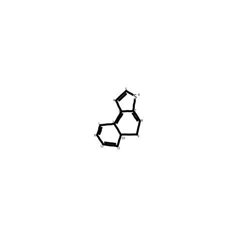 C1=CC2=c3ccsc3=CCC2C=C1